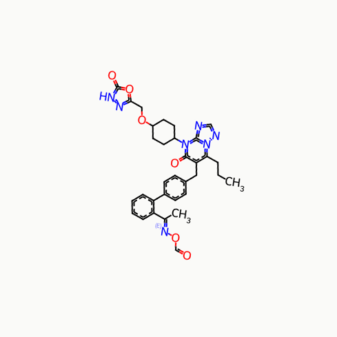 CCCc1c(Cc2ccc(-c3ccccc3/C(C)=N/OC=O)cc2)c(=O)n(C2CCC(OCc3n[nH]c(=O)o3)CC2)c2ncnn12